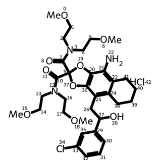 COCCN(CCOC)C(=O)C1(C(=O)N(CCOC)CCOC)Oc2c(N)c3c(c(CC(O)c4cccc(Cl)c4)c2O1)CCCC3.Cl